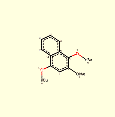 CCCCOc1cc(OC)c(OCCCC)c2ccccc12